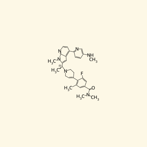 CNc1ccc(-c2ccnc3c2cc([C@H](C)N2CC=C(c4c(C)cc(C(=O)N(C)C)cc4F)CC2)n3C)nc1